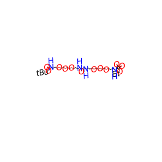 CCOc1c(NCCCOCCOCCOCCCNCC(=O)NCCCOCCOCCOCCCNC(=O)OC(C)(C)C)c(=O)c1=O